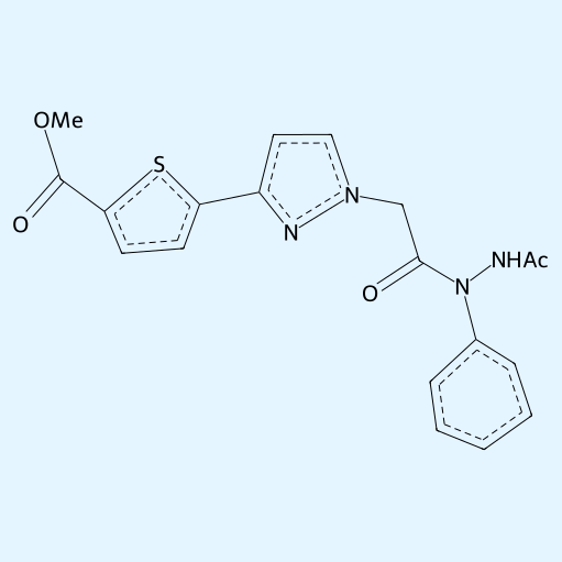 COC(=O)c1ccc(-c2ccn(CC(=O)N(NC(C)=O)c3ccccc3)n2)s1